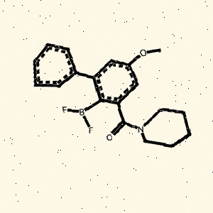 COc1cc(C(=O)N2CCCCC2)c(B(F)F)c(-c2ccccc2)c1